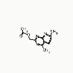 CC(=O)OCc1nc(C)c2ccc(C)nc2n1